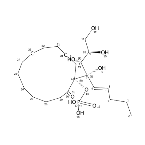 CCCC=C[C@](O)([C@H](O)[C@H](O)CO)[C@]1(OP(=O)(O)O)CCCCCCCCCCCC1=O